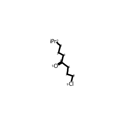 CC(C)CCCC(=O)CCCCl